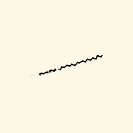 CCCCCCCCCCCCCCCCCCOCCOCCCO